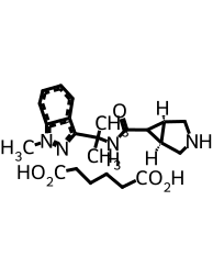 Cn1nc(C(C)(C)NC(=O)C2[C@H]3CNC[C@@H]23)c2ccccc21.O=C(O)CCCCC(=O)O